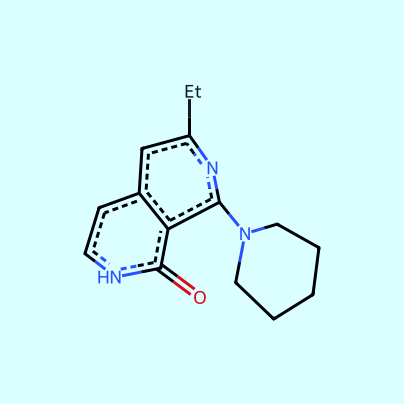 CCc1cc2cc[nH]c(=O)c2c(N2CCCCC2)n1